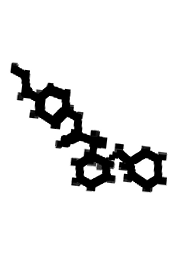 CCOc1ccc(CC(=O)N[C@@H]2CCCC[C@H]2CN2CCCCC2)cc1